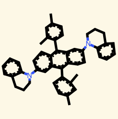 Cc1ccc(-c2c3ccc(N4CCCc5ccccc54)cc3c(-c3ccc(C)cc3C)c3ccc(N4CCCc5ccccc54)cc23)c(C)c1